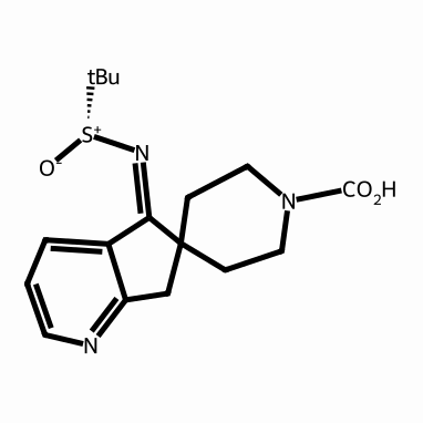 CC(C)(C)[S@@+]([O-])/N=C1\c2cccnc2CC12CCN(C(=O)O)CC2